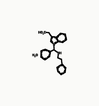 O.O=C(O)Cc1cn(C(NCCc2ccccc2)c2ccccc2)c2ccccc12